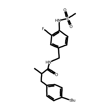 CC(Cc1ccc(C(C)(C)C)cc1)C(=O)NCc1ccc(NS(C)(=O)=O)c(F)c1